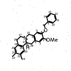 COc1cc2c(cc1OCc1ccccc1)CN1CCc3cc(C)c(C)cc3[C@@H]1C2